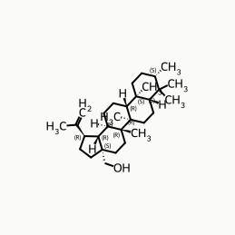 C=C(C)[C@@H]1CC[C@]2(CO)CC[C@]3(C)[C@H](CC[C@@H]4[C@@]5(C)CC[C@H](C)C(C)(C)[C@@H]5CC[C@]43C)[C@@H]12